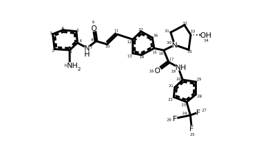 Nc1ccccc1NC(=O)C=Cc1ccc(C(C(=O)Nc2ccc(C(F)(F)F)cc2)N2CC[C@H](O)C2)cc1